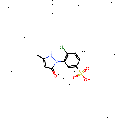 Cc1cc(=O)n(-c2cc(S(=O)(=O)O)ccc2Cl)[nH]1